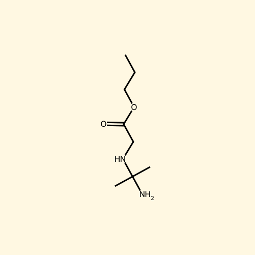 CCCOC(=O)CNC(C)(C)N